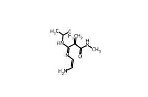 C=C(C(=O)NC)/C(=N\C=C/N)NC(C)C